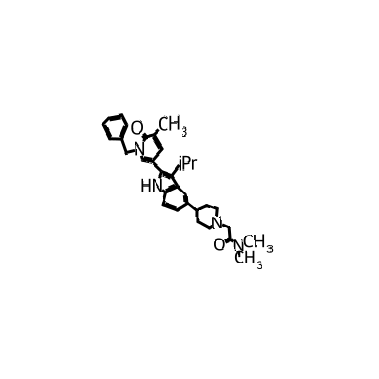 Cc1cc(-c2[nH]c3ccc(C4CCN(CC(=O)N(C)C)CC4)cc3c2C(C)C)cn(Cc2ccccc2)c1=O